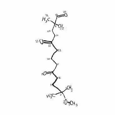 COC(C)(C)CCC(=O)CCCC(=O)CCC(C)(C)C=O